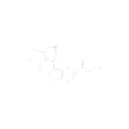 COC(=O)c1ccc2scc(-c3cccc(F)c3OC)c2c1